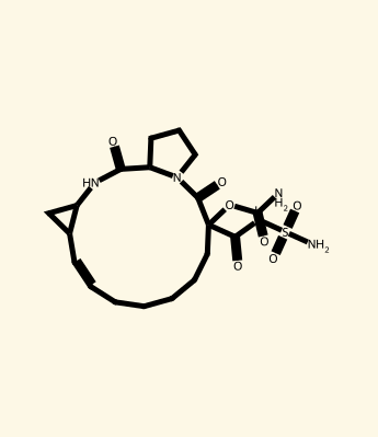 NC(=O)OC1(C(=O)NS(N)(=O)=O)CCCCCC=CC2CC2NC(=O)C2CCCN2C1=O